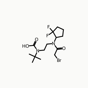 CC(C)(C)N(CCN(C(=O)CBr)C1CCCC1(F)F)C(=O)O